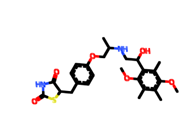 COc1c(C)c(C)c(OC)c(C(O)CNC(C)COc2ccc(CC3SC(=O)NC3=O)cc2)c1C